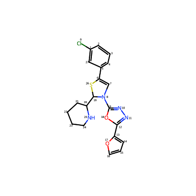 Clc1cccc(C2=CN(c3nnc(-c4ccco4)o3)C(C3CCCCN3)S2)c1